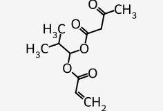 C=CC(=O)OC(OC(=O)CC(C)=O)C(C)C